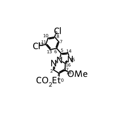 CCOC(=O)c1cnn2c(-c3cc(Cl)cc(Cl)c3)cnc2c1OC